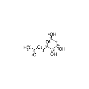 CC(=O)OC[C@H]1O[C@@H](O)C[C@@H](O)[C@H]1O